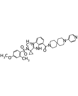 COc1ccc(S(=O)(=O)N(C)C2(c3nc4cccc(C(=O)N5CCC6(CC5)CCN(c5ccncc5)CC6)c4[nH]3)CC2)c(C)c1